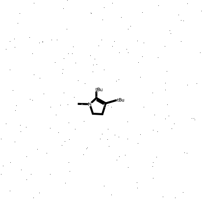 CN1CCC(C(C)(C)C)=C1C(C)(C)C